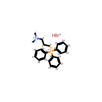 Br.CN(C)CCC[PH](c1ccccc1)(c1ccccc1)c1ccccc1